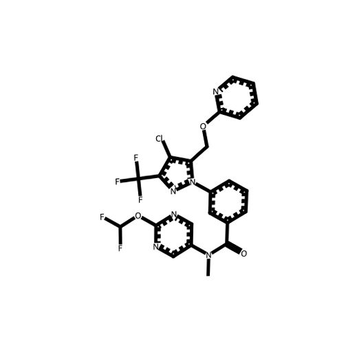 CN(C(=O)c1cccc(-n2nc(C(F)(F)F)c(Cl)c2COc2ccccn2)c1)c1cnc(OC(F)F)nc1